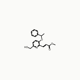 COC(=O)/C=C/c1nc(CO)ccc1OC(C)c1ccccc1